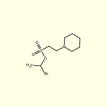 CC(C)C(C)OS(=O)(=O)CCN1CCCCC1